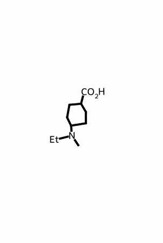 CCN(C)C1CCC(C(=O)O)CC1